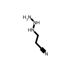 N#CCCNNN